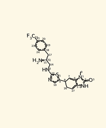 Cn1c(=O)[nH]c2c1=CC(c1cnc(NC[C@@H](N)Cc3ccc(C(F)(F)F)cc3)s1)CC=2